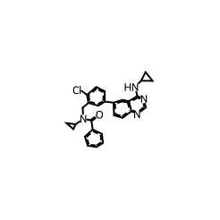 O=C(c1ccccc1)N(Cc1cc(-c2ccc3ncnc(NC4CC4)c3c2)ccc1Cl)C1CC1